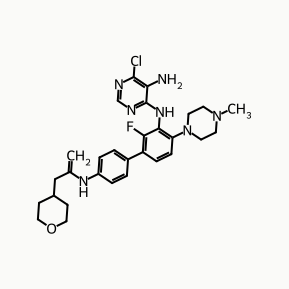 C=C(CC1CCOCC1)Nc1ccc(-c2ccc(N3CCN(C)CC3)c(Nc3ncnc(Cl)c3N)c2F)cc1